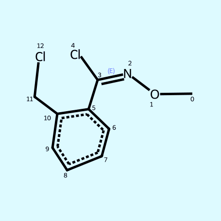 CO/N=C(/Cl)c1ccccc1CCl